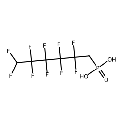 O=P(O)(O)CC(F)(F)C(F)(F)C(F)(F)C(F)(F)C(F)F